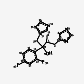 CC(Cn1cncn1)C(O)(Cn1cncn1)c1ccc(F)cc1F